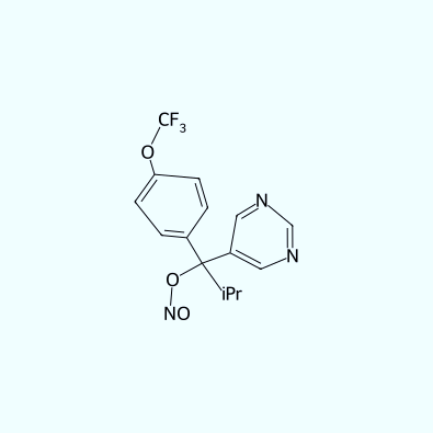 CC(C)C(ON=O)(c1ccc(OC(F)(F)F)cc1)c1cncnc1